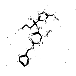 CC(C)CCC(O)(NC(=O)[C@H](CC(C)C)NC(=O)OCc1ccccc1)c1nnc(SC(C)C)o1